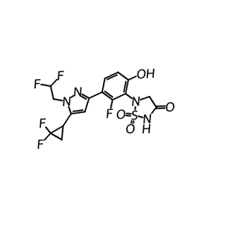 O=C1CN(c2c(O)ccc(-c3cc(C4CC4(F)F)n(CC(F)F)n3)c2F)S(=O)(=O)N1